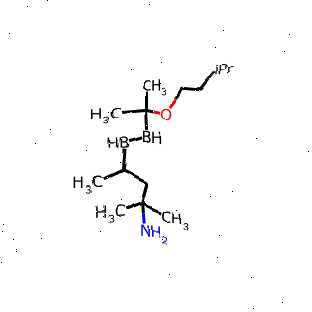 CC(C)CCOC(C)(C)BBC(C)CC(C)(C)N